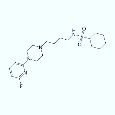 O=S(=O)(NCCCCN1CCN(c2cccc(F)n2)CC1)C1CCCCC1